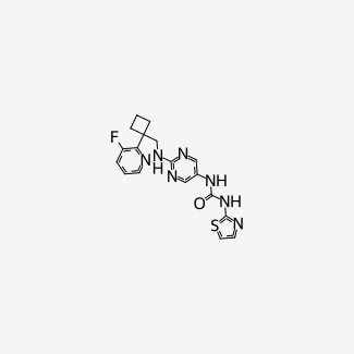 O=C(Nc1cnc(NCC2(c3ncccc3F)CCC2)nc1)Nc1nccs1